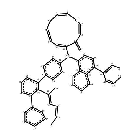 C=C1/C=C\C/C=C\C/C=C\C=C/1N(c1ccc(-c2cccc(-c3ccccc3)c2/C(C)=C/C=C\C)cc1)c1ccc(C(/C=C\C)=C/C)c2ccccc12